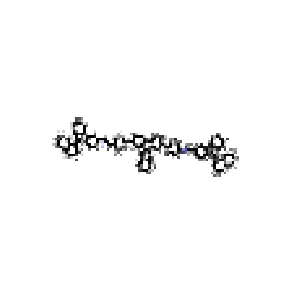 C(=C\c1ccc2c(c1)c1ccccc1n2-c1cccc2ccccc12)/c1ccc(-c2ccc3c(c2)C2(Cc4ccccc4C2)c2cc(-c4ccc(/C=C/c5ccc6c(c5)c5ccccc5n6-c5cccc6ccccc56)cc4)ccc2-3)cc1